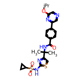 CC(C)Oc1cncc(-c2ccc(C(=O)NC(C)(C)c3csc(NS(=O)(=O)C4CC4)n3)cc2)n1